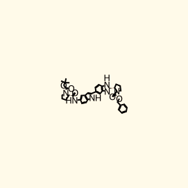 CC(C)(C)OC(=O)N1CCC[C@H]1C(=O)Nc1ccc2[nH]c(-c3ccc4[nH]c([C@@H]5CCCN5C(=O)OCc5ccccc5)nc4c3)cc2c1